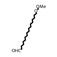 COCOCCCCCCCCCCCCCCCCC[C]=O